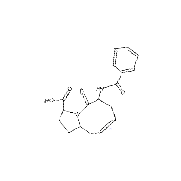 O=C(NC1C/C=C\CC2CCC(C(=O)O)N2C1=O)c1ccccc1